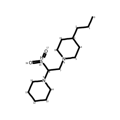 CCCC1CCN(CC(N2CC[CH]CC2)[SH](=O)=O)CC1